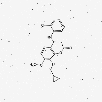 COc1ccc2c(Nc3ccccc3Cl)cc(=O)oc2c1OCC1CC1